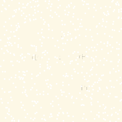 CC(C)(C)P(=O)(CBr)C(C)(C)C